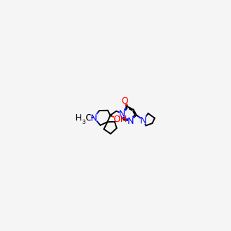 CN1CCC(O)(Cn2cnc(N3CCCC3)cc2=O)C2(CCCC2)C1